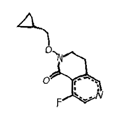 O=C1c2c(F)cncc2CCN1OCC1CC1